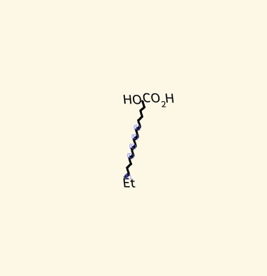 CC/C=C/CC/C=C/C=C/C=C/C=C/CCCCC(O)C(=O)O